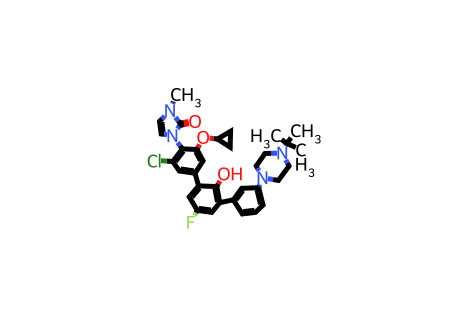 Cn1ccn(-c2c(Cl)cc(-c3cc(F)cc(-c4cccc(N5CCN(C(C)(C)C)CC5)c4)c3O)cc2OC2CC2)c1=O